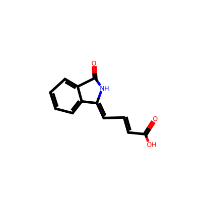 O=C(O)C=CC=C1NC(=O)c2ccccc21